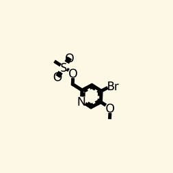 COc1cnc(COS(C)(=O)=O)cc1Br